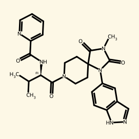 CC(C)[C@@H](NC(=O)c1ccccn1)C(=O)N1CCC2(CC1)C(=O)N(C)C(=O)N2c1ccc2[nH]ncc2c1